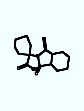 O=C1C2CCCCC2C(=O)N1C1(C(=O)O)CCCCC1